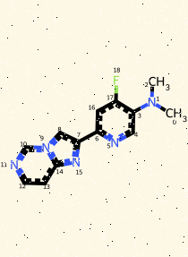 CN(C)c1cnc(-c2cn3cnccc3n2)cc1F